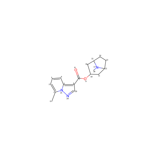 Cc1cccc2c(C(=O)OC3CC4CCC(C3)N4C)cnn12